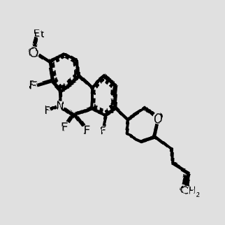 C=CCCC1CCC(c2ccc3c(c2F)C(F)(F)N(F)c2c-3ccc(OCC)c2F)CO1